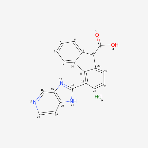 Cl.O=C(O)C1c2ccccc2-c2c(-c3nc4cnccc4[nH]3)cccc21